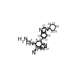 N#Cc1c(NCCN)cc(-c2ccc3c(c2)ncn3C2CCCCC2)c2nc[nH]c12